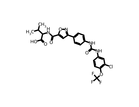 CC(C)C(NC(=O)c1cc(-c2ccc(NC(=O)Nc3ccc(OC(F)(F)F)c(Cl)c3)cc2)no1)C(=O)O